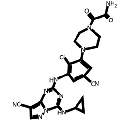 N#Cc1cc(Nc2nc(NC3CC3)n3ncc(C#N)c3n2)c(Cl)c(N2CCN(C(=O)C(N)=O)CC2)c1